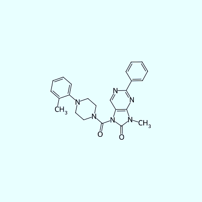 Cc1ccccc1N1CCN(C(=O)n2c(=O)n(C)c3nc(-c4ccccc4)ncc32)CC1